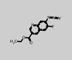 CCOC(=O)c1cnc2cc(N=[N+]=[N-])c(F)cc2c1